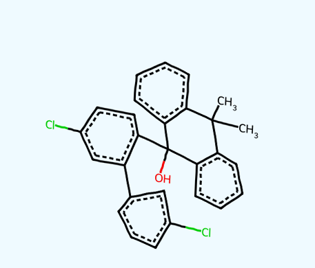 CC1(C)c2ccccc2C(O)(c2ccc(Cl)cc2-c2cccc(Cl)c2)c2ccccc21